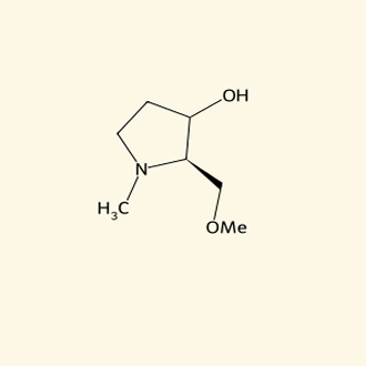 COC[C@@H]1C(O)CCN1C